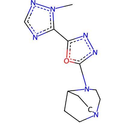 Cn1ncnc1-c1nnc(N2CCN3CCC2CC3)o1